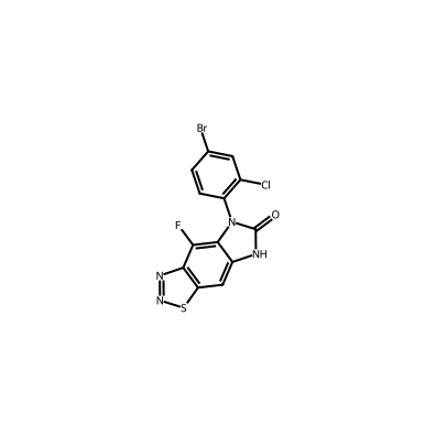 O=c1[nH]c2cc3snnc3c(F)c2n1-c1ccc(Br)cc1Cl